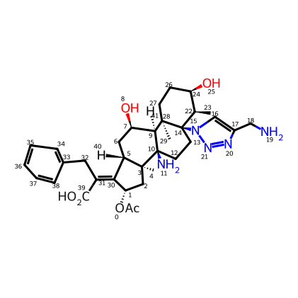 CC(=O)O[C@H]1C[C@@]2(C)[C@@H](C[C@@H](O)[C@@H]3[C@]2(N)CC[C@@]2(n4cc(CN)nn4)[C@H](C)[C@H](O)CC[C@]32C)/C1=C(\Cc1ccccc1)C(=O)O